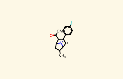 COC(=O)C1C(c2ccc(F)cc2)CC2C(C)CC1N2C